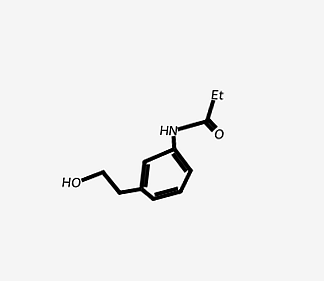 CCC(=O)Nc1cccc(CCO)c1